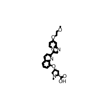 COCCOc1ccn2c(-c3ccc4cccc(O[C@@H]5C[C@@H](C(=O)O)N(C)C5)c4n3)cnc2c1